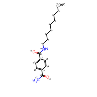 CCCCCCCCCCCCCCCCCCNC(=O)c1ccc(C(N)=O)cc1